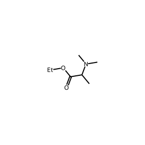 CCOC(=O)C(C)N(C)C